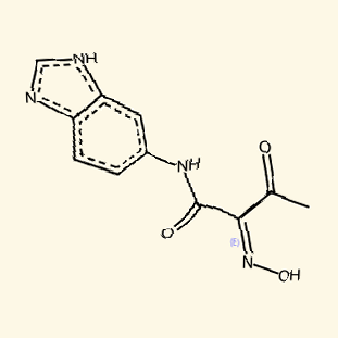 CC(=O)/C(=N\O)C(=O)Nc1ccc2nc[nH]c2c1